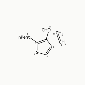 C=C.CCCCCc1sccc1C=O